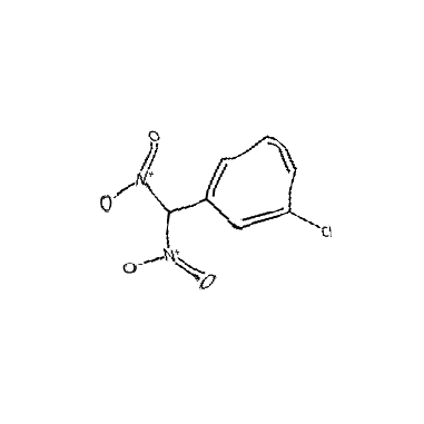 O=[N+]([O-])C(c1cccc(Cl)c1)[N+](=O)[O-]